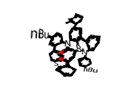 CCCCc1ccc(N2B3c4cc5c(cc4N(c4ccc(CCCC)cc4-c4ccccc4)c4cc(-c6ccccc6C)cc(c43)-c3ccccc32)sc2ccccc25)cc1